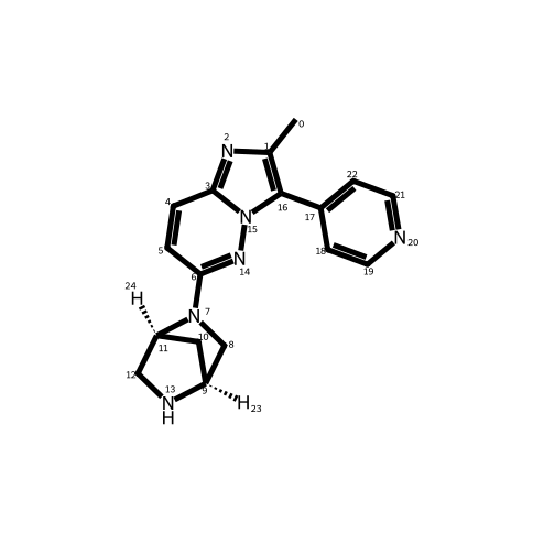 Cc1nc2ccc(N3C[C@@H]4C[C@H]3CN4)nn2c1-c1ccncc1